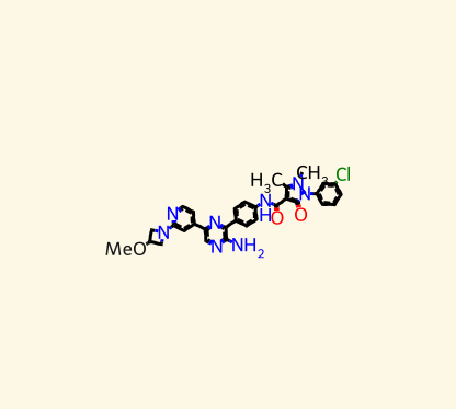 COC1CN(c2cc(-c3cnc(N)c(-c4ccc(NC(=O)c5c(C)n(C)n(-c6cccc(Cl)c6)c5=O)cc4)n3)ccn2)C1